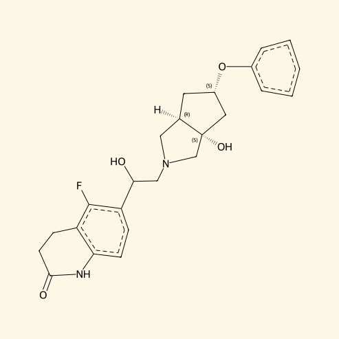 O=C1CCc2c(ccc(C(O)CN3C[C@H]4C[C@H](Oc5ccccc5)C[C@@]4(O)C3)c2F)N1